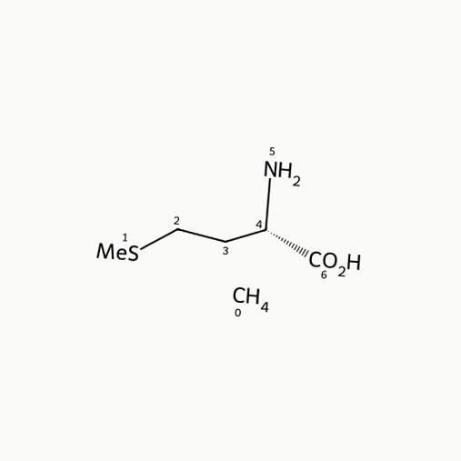 C.CSCC[C@H](N)C(=O)O